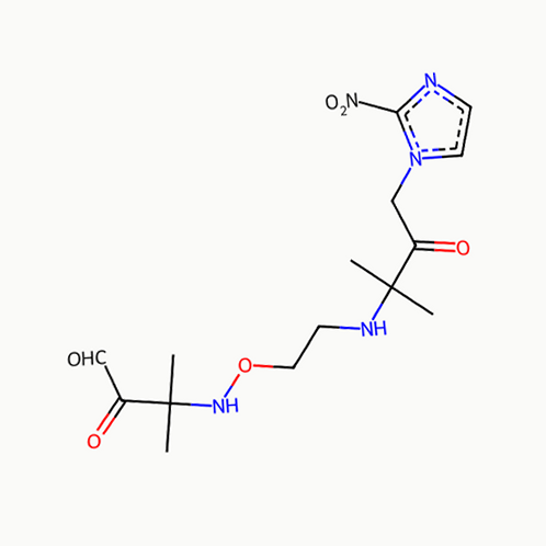 CC(C)(NOCCNC(C)(C)C(=O)Cn1ccnc1[N+](=O)[O-])C(=O)C=O